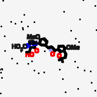 COc1ccc(/C=C/C(=O)c2ccc(OC)c3c2OC(C)(C)C=C3)cc1NC(=O)C(C(C)O)N(C(=O)O)C(C)(C)C